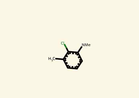 CNc1cccc(C)c1Cl